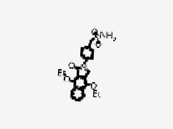 CCOc1c2c(c(OCC)c3ccccc13)C(=O)N(c1ccc(CS(N)(=O)=O)cc1)C2